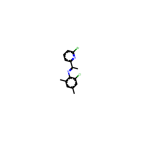 CC(=Nc1c(C)cc(C)cc1Cl)c1cccc(Br)n1